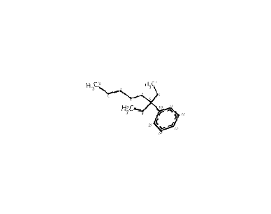 CCCCCC(CC)(CC)c1[c]cccc1